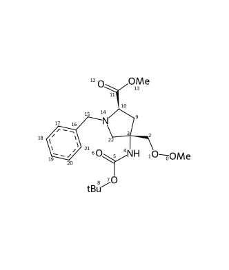 COOC[C@]1(NC(=O)OC(C)(C)C)C[C@H](C(=O)OC)N(Cc2ccccc2)C1